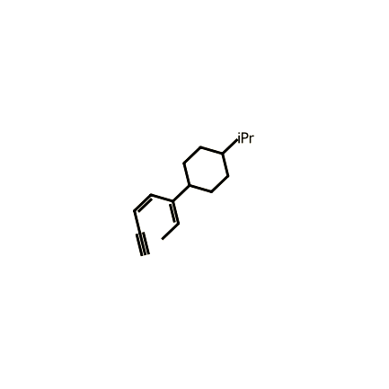 C#C/C=C\C(=C/C)C1CCC(C(C)C)CC1